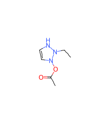 CCN1NC=CN1OC(C)=O